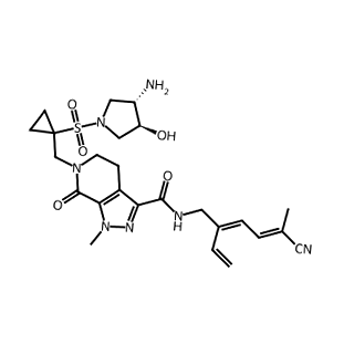 C=C/C(=C\C=C(/C)C#N)CNC(=O)c1nn(C)c2c1CCN(CC1(S(=O)(=O)N3C[C@H](N)[C@@H](O)C3)CC1)C2=O